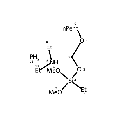 CCCCCOCO[Si](CC)(OC)OC.CCNCC.P